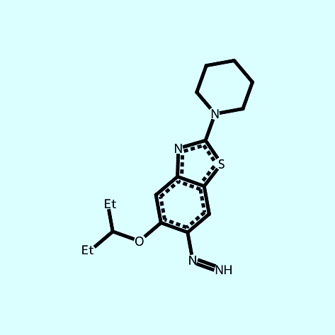 CCC(CC)Oc1cc2nc(N3CCCCC3)sc2cc1N=N